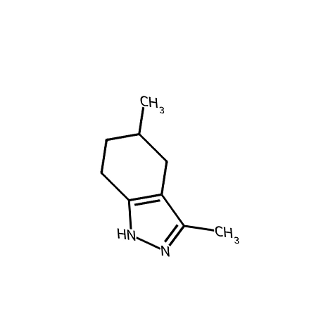 Cc1n[nH]c2c1CC(C)CC2